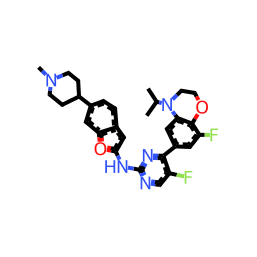 CC(C)N1CCOc2c(F)cc(-c3nc(Nc4cc5ccc(C6CCN(C)CC6)cc5o4)ncc3F)cc21